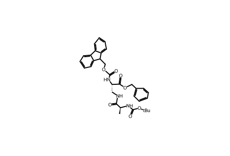 C[C@H](NC(=O)OC(C)(C)C)C(=O)NC[C@H](NC(=O)OCC1c2ccccc2-c2ccccc21)C(=O)OCc1ccccc1